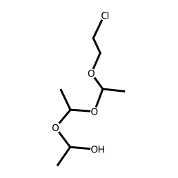 CC(O)OC(C)OC(C)OCCCl